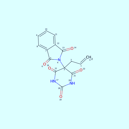 C=CCC1(N2C(=O)c3ccccc3C2=O)C(=O)NC(=O)NC1=O